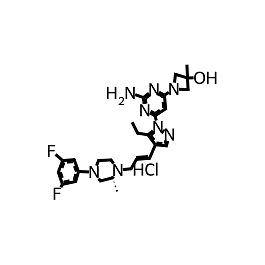 CCc1c(C=CCN2CCN(c3cc(F)cc(F)c3)C[C@H]2C)cnn1-c1cc(N2CC(C)(O)C2)nc(N)n1.Cl